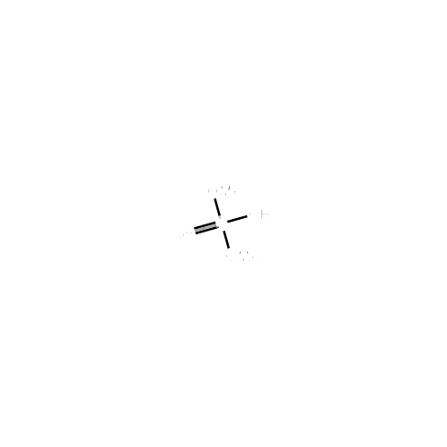 COP(O)(=[Se])OC